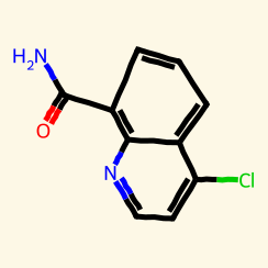 NC(=O)c1cccc2c(Cl)ccnc12